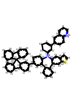 C1=C(c2ccc3ncccc3c2)C=C(N2c3ccc(-c4ccc5c(c4)C4(c6ccccc6-c6ccccc64)c4ccccc4-5)cc3-c3ccccc3-c3cc4sccc4cc32)CC1